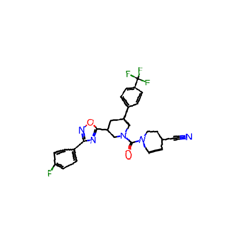 N#CC1CCN(C(=O)N2CC(c3ccc(C(F)(F)F)cc3)CC(c3nc(-c4ccc(F)cc4)no3)C2)CC1